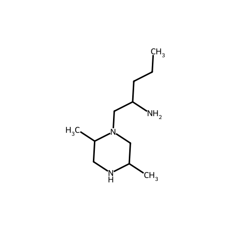 CCCC(N)CN1CC(C)NCC1C